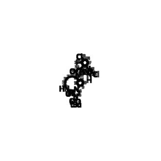 CC(C)(C)OC(=O)N1CCN2c3cccc(c3)[C@@H](n3cnc(-c4c(N5C=C(Cl)NN5)ccc(Cl)c4F)cc3=O)CCCCCNC(=O)[C@H]2C1